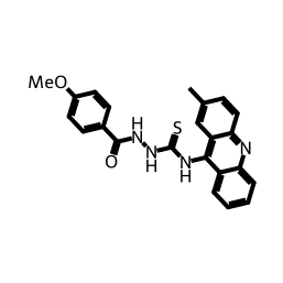 COc1ccc(C(=O)NNC(=S)Nc2c3ccccc3nc3ccc(C)cc23)cc1